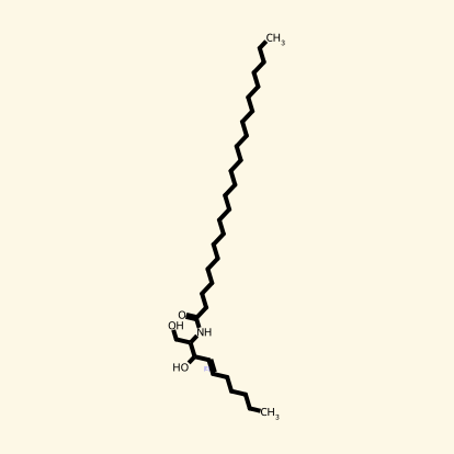 CCCCC/C=C/C(O)C(CO)NC(=O)CCCCCCCCCCCCCCCCCCCCCCC